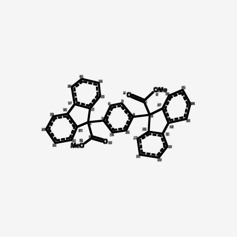 COC(=O)C1(c2ccc(C3(C(=O)OC)c4ccccc4-c4ccccc43)cc2)c2ccccc2-c2ccccc21